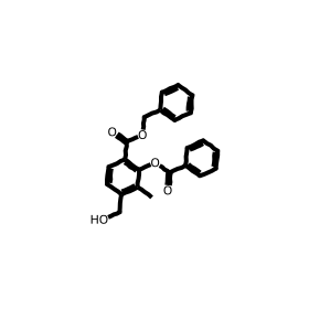 Cc1c(CO)ccc(C(=O)OCc2ccccc2)c1OC(=O)c1ccccc1